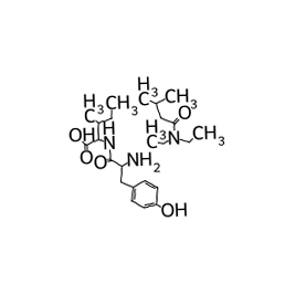 CCC(C)C(NC(=O)C(N)Cc1ccc(O)cc1)C(=O)O.CCN(CC)C(=O)CC(C)C